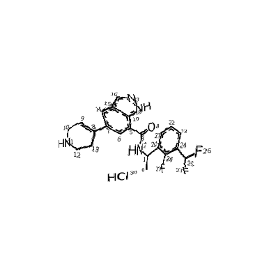 C[C@@H](NC(=O)c1cc(C2=CCNCC2)cc2cn[nH]c12)c1cccc(C(F)F)c1F.Cl